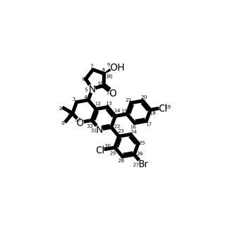 CC1(C)CC(N2CC[C@@H](O)C2=O)c2cc(-c3ccc(Cl)cc3)c(-c3ccc(Br)cc3Cl)nc2O1